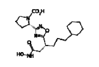 O=C(C[C@@H](CCCC1CCCCC1)c1nc([C@@H]2CCCN2C(=O)O)no1)NO